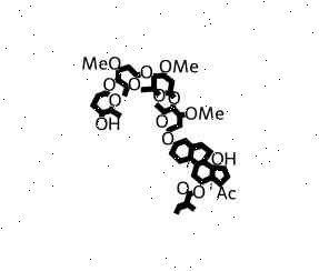 C/C=C(\C)C(=O)O[C@@H]1CC2C(CC=C3C[C@@H](OC4CC(OC)C(OC5CC(OC)C(OC6CC(OC)C(OC7CCC(O)C(C)O7)C(C)O6)C(C)O5)C(C)O4)CC[C@@]32C)[C@@]2(O)CC[C@H](C(C)=O)[C@@]12C